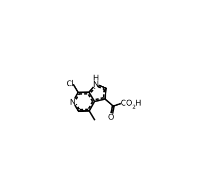 Cc1cnc(Cl)c2[nH]cc(C(=O)C(=O)O)c12